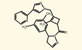 CC1=C(Cn2cc(-c3ccccn3)cn2)CC1C(=O)N1N=CCC1c1cc(C)cc(P)c1